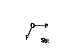 FOF.[Sb]